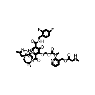 CNCC(=O)OCc1cccnc1N(C)C(=O)OCOc1c2n(cc(C(=O)NCc3ccc(F)cc3F)c1=O)[C@@H]1CN(C2=O)[C@@H](C)CC[C@]12CC(C)=NO2